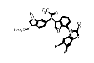 CCOc1nc2cc(F)c(F)cc2n1-c1cccc2c1OC[C@H]2N(C(=O)C(F)(F)F)c1ccc2c(c1)OC[C@H]2CC(=O)O